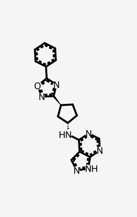 c1ccc(-c2nc([C@H]3CC[C@H](Nc4ncnc5[nH]ncc45)C3)no2)cc1